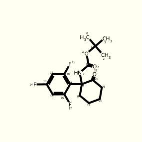 CC(C)(C)OC(=O)NC1(c2c(F)cc(F)cc2F)CCCCC1=O